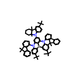 CC(C)(C)c1ccc2c(c1)B1c3cc(C(C)(C)C)cc4c3N(c3cc(N5c6ccc(C(C)(C)C)cc6C6(C)CCCCC56C)cc(c31)N2c1cccc2c1-c1ccccc1C2(C)C)c1cccc2c1C4(C)c1ccccc1-2